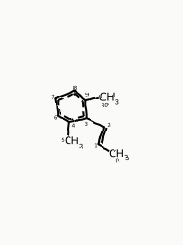 CC=Cc1c(C)cccc1C